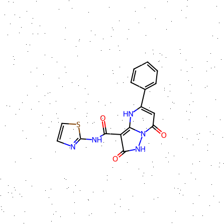 O=C(Nc1nccs1)c1c(=O)[nH]n2c(=O)cc(-c3ccccc3)[nH]c12